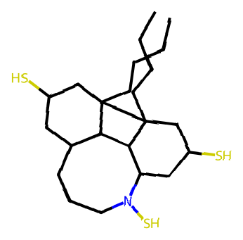 CCCCC12CC(S)CC3CCCN(S)C4CC(S)CC1(CCCC)C4C32